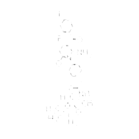 CC(C)(C)OC(=O)C(C)(C)NC(=O)Cc1ccc(-n2c(N)c(C(=O)c3ccc(F)cc3F)ccc2=O)cc1